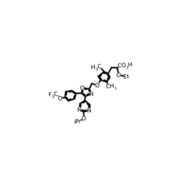 CCOC(Cc1cc(C)c(OCc2nc(-c3cnc(OC(C)C)nc3)c(-c3ccc(OC(F)(F)F)cc3)o2)cc1C)C(=O)O